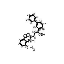 Cc1cccc(Cl)c1NC(=O)CCC(O)c1cccc(-c2ccccc2)c1